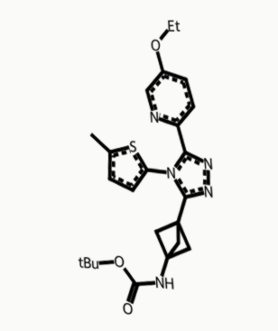 CCOc1ccc(-c2nnc(C34CC(NC(=O)OC(C)(C)C)(C3)C4)n2-c2ccc(C)s2)nc1